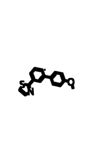 COc1ccc(-c2[c]ccc(-c3nccs3)c2)cc1